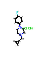 Cl.Cl.Fc1ccc(N2CCN(CC3CC3)CC2)cc1